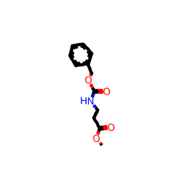 COC(=O)CCNC(=O)OCc1ccccc1